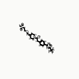 CS(=O)(=O)CCON=C1CCN(C(=O)Cc2ccc(-c3noc(C(F)(F)F)n3)cc2)CC1